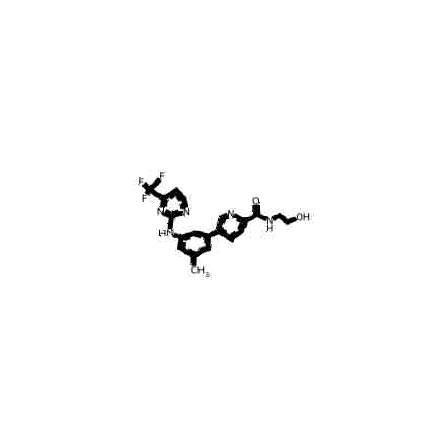 Cc1cc(Nc2nccc(C(F)(F)F)n2)cc(-c2ccc(C(=O)NCCO)nc2)c1